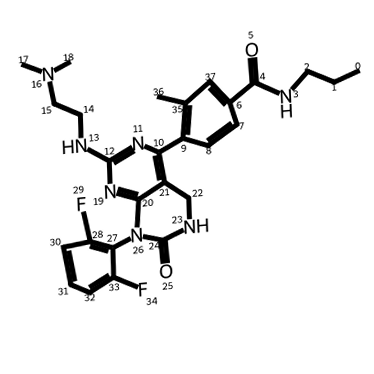 CCCNC(=O)c1ccc(-c2nc(NCCN(C)C)nc3c2CNC(=O)N3c2c(F)cccc2F)c(C)c1